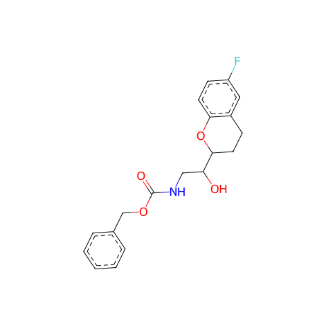 O=C(NCC(O)C1CCc2cc(F)ccc2O1)OCc1ccccc1